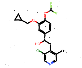 Cc1cncc(Cl)c1CC(O)c1ccc(OC(F)F)c(OCC2CC2)c1